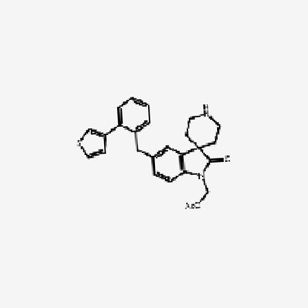 CC(=O)OCN1C(=O)C2(CCNCC2)c2cc(Cc3ccccc3-c3ccsc3)ccc21